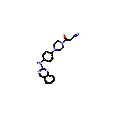 N#CCC(=O)N1CCN(c2ccc(Nc3ncc4ccccc4n3)cc2)CC1